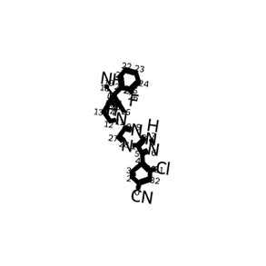 N#Cc1ccc(-c2n[nH]c3nc(N4CC[C@@H]5[C@H](C4)[C@@]5(CN)c4ccccc4F)cnc23)c(Cl)c1